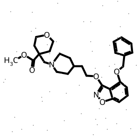 COC(=O)C1(CN2CCC(CCOc3noc4cccc(OCc5ccccc5)c34)CC2)CCOCC1